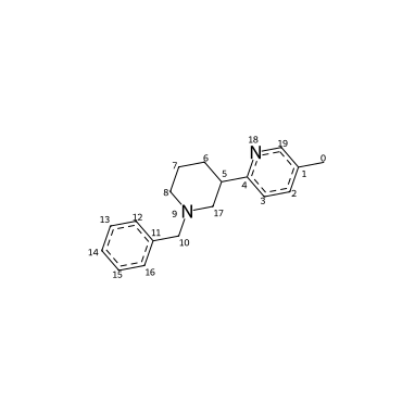 Cc1ccc(C2CCCN(Cc3ccccc3)C2)nc1